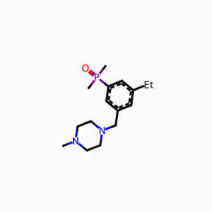 CCc1cc(CN2CCN(C)CC2)cc(P(C)(C)=O)c1